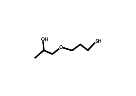 CC(O)COCCCS